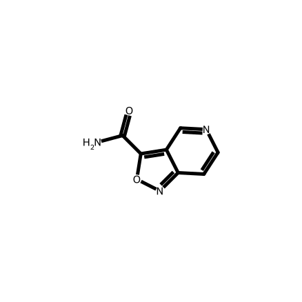 NC(=O)c1onc2ccncc12